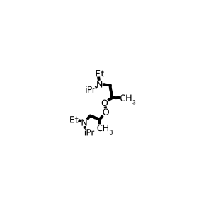 CCN(CC(C)OOC(C)CN(CC)C(C)C)C(C)C